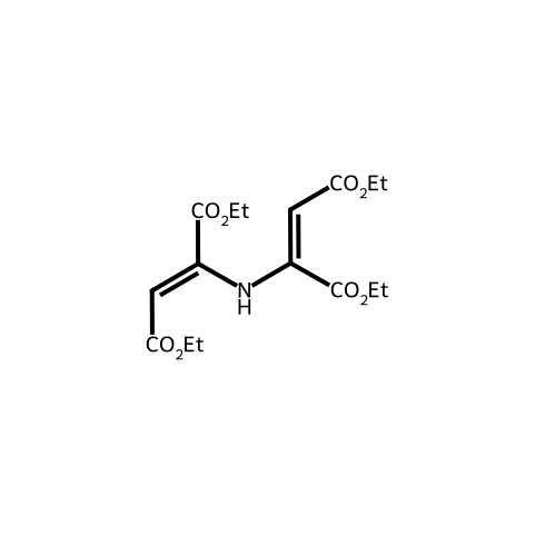 CCOC(=O)C=C(NC(=CC(=O)OCC)C(=O)OCC)C(=O)OCC